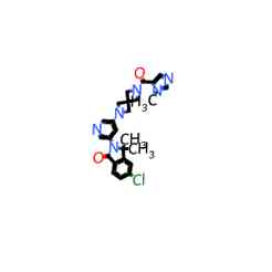 Cn1cncc1C(=O)N1CC2(C1)CN(c1cncc(N3C(=O)c4ccc(Cl)cc4C3(C)C)c1)C2